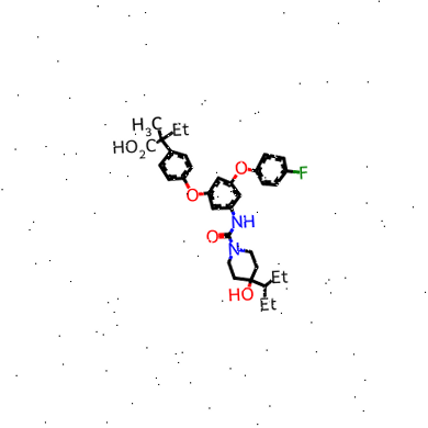 CCC(CC)C1(O)CCN(C(=O)Nc2cc(Oc3ccc(F)cc3)cc(Oc3ccc(C(C)(CC)C(=O)O)cc3)c2)CC1